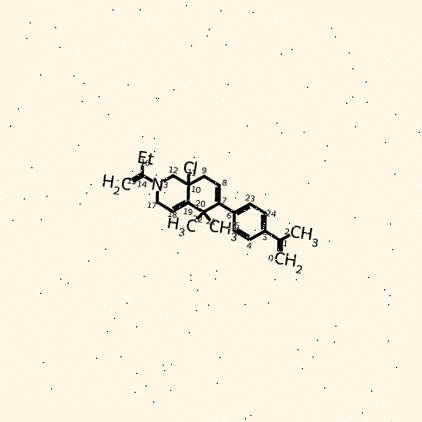 C=C(C)c1ccc(C2=CCC3(Cl)CN(C(=C)CC)CC=C3C2(C)C)cc1